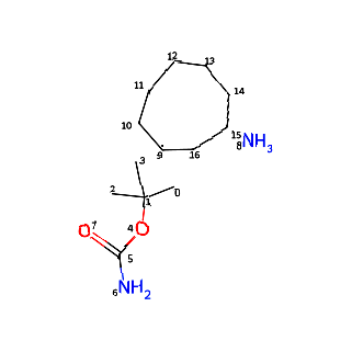 CC(C)(C)OC(N)=O.N.[CH]1CCCCCCC1